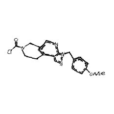 COc1ccc(Cn2ncc3c4c(cnc32)CN(C(=O)Cl)CC4)cc1